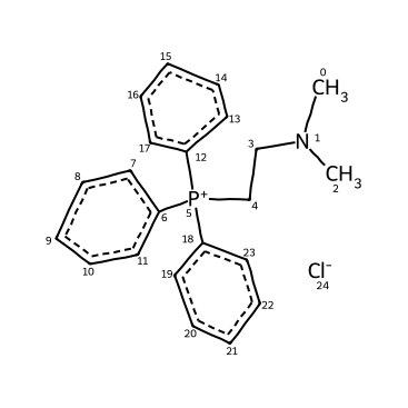 CN(C)CC[P+](c1ccccc1)(c1ccccc1)c1ccccc1.[Cl-]